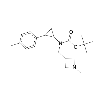 Cc1ccc(C2CC2N(CC2CN(C)C2)C(=O)OC(C)(C)C)cc1